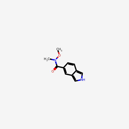 CON(C)C(=O)c1ccc2c[nH]cc2c1